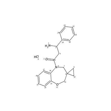 Cl.NC(CC(=O)N1CC2(CC2)COc2ccccc21)c1ccccc1